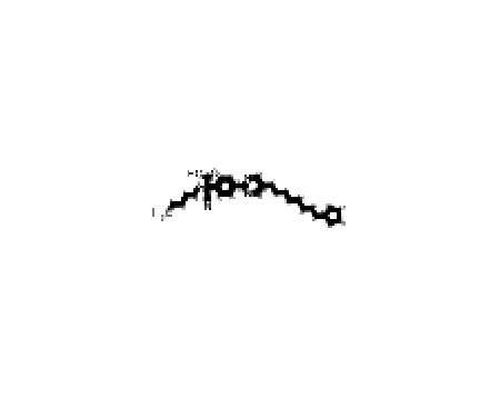 CCCCCC[C@](C#N)(C(=O)O)c1ccc(-c2ncc(CCCCCCCCC3CCCC3)cn2)cc1